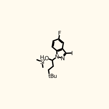 C[SiH](C)OC(CCC(C)(C)C)n1nc(I)c2cc(F)ccc21